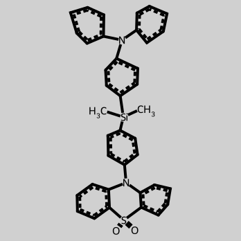 C[Si](C)(c1ccc(N(c2ccccc2)c2ccccc2)cc1)c1ccc(N2c3ccccc3S(=O)(=O)c3ccccc32)cc1